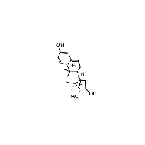 C[C@]12CC[C@H]3[C@@H](CC=C4C=C(O)C=C[C@@H]43)[C@@H]1C[C@@H](O)[C@@H]2O